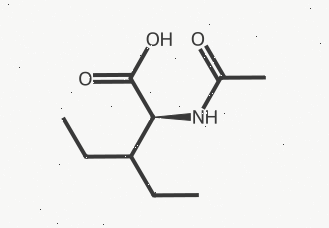 CCC(CC)[C@H](NC(C)=O)C(=O)O